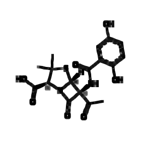 CC(=O)[C@]1(NC(=O)c2cc(O)ccc2O)C(=O)N2[C@@H](C(=O)O)C(C)(C)S[C@@H]21